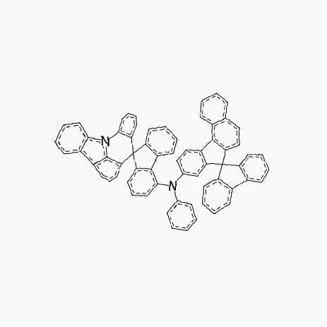 c1ccc(N(c2ccc3c(c2)C2(c4ccccc4-c4ccccc42)c2ccc4ccccc4c2-3)c2cccc3c2-c2ccccc2C32c3ccccc3-n3c4ccccc4c4cccc2c43)cc1